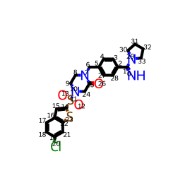 N=C(c1ccc(CN2CCN(S(=O)(=O)c3cc4ccc(Cl)cc4s3)CC2=O)cc1)N1CCCC1